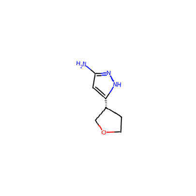 Nc1cc([C@@H]2CCOC2)[nH]n1